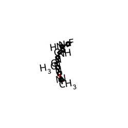 Cc1cnc(-c2ccc(N3CCN(C(=O)CN4CCC(C(=O)Nc5ccc6c(-c7ccc(F)cc7)n[nH]c6c5)C4)[C@H](C)C3)cc2)nc1